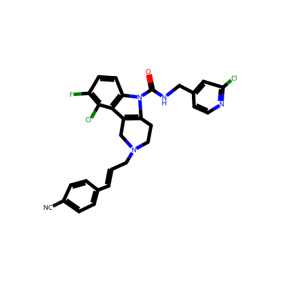 N#Cc1ccc(C=CCN2CCc3c(c4c(Cl)c(F)ccc4n3C(=O)NCc3ccnc(Cl)c3)C2)cc1